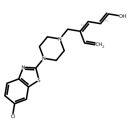 C=C/C(=C\C=C\O)CN1CCN(c2nc3ccc(Cl)cc3s2)CC1